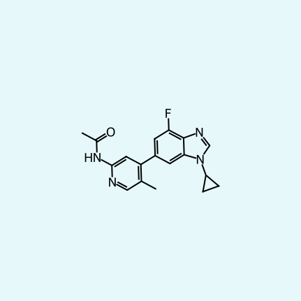 CC(=O)Nc1cc(-c2cc(F)c3ncn(C4CC4)c3c2)c(C)cn1